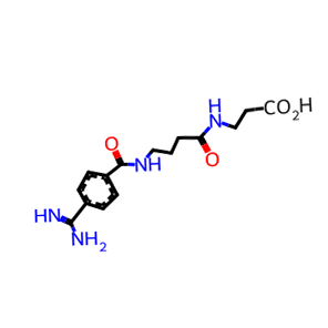 N=C(N)c1ccc(C(=O)NCCCC(=O)NCCC(=O)O)cc1